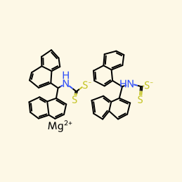 S=C([S-])NC(c1cccc2ccccc12)c1cccc2ccccc12.S=C([S-])NC(c1cccc2ccccc12)c1cccc2ccccc12.[Mg+2]